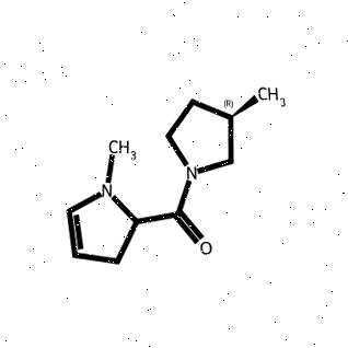 C[C@@H]1CCN(C(=O)C2CC=CN2C)C1